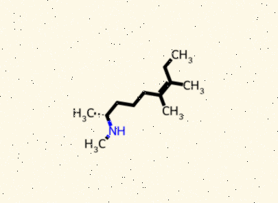 CC/C(C)=C(/C)CCC[C@@H](C)NC